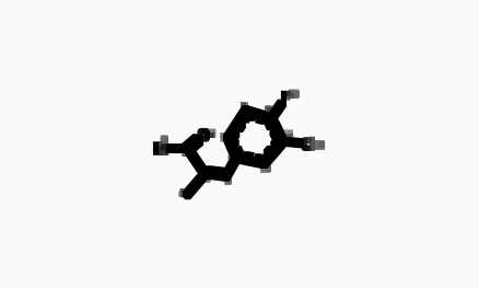 CCC(=O)C(C)=Cc1ccc(F)c(Cl)c1